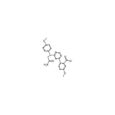 COc1ccc(C(CC(N)=O)c2cc(-c3ccc(OC)cc3[N+](=O)[O-])ccn2)cc1